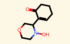 O=C1CCCC=C1C1COCCN1O